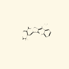 CC[C@@]1(O)C(=O)OCc2c1cc1n(c2=O)Cc2c-1nc1ccccc1c2OC